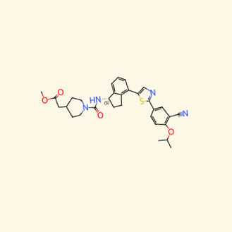 COC(=O)CC1CCN(C(=O)N[C@H]2CCc3c(-c4cnc(-c5ccc(OC(C)C)c(C#N)c5)s4)cccc32)CC1